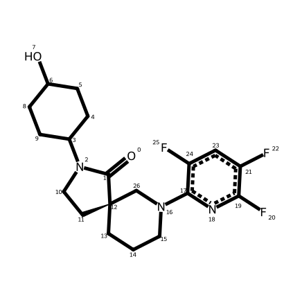 O=C1N(C2CCC(O)CC2)CC[C@@]12CCCN(c1nc(F)c(F)cc1F)C2